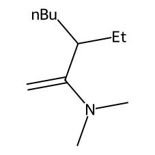 C=C(C(CC)CCCC)N(C)C